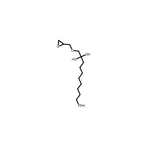 CCCCCCCCCCCCCCCCCCC(O)(O)COCC1CO1